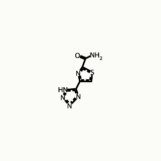 NC(=O)c1nc(-c2nnn[nH]2)cs1